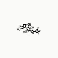 Cc1nc2cc(-n3cnnc3[C@@H]3O[C@H](CO)[C@H](O)[C@H](n4cc(-c5cc(F)c(F)c(F)c5)nn4)[C@H]3O)ccc2n1C